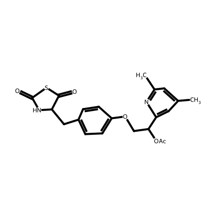 CC(=O)OC(COc1ccc(CC2NC(=O)SC2=O)cc1)c1cc(C)cc(C)n1